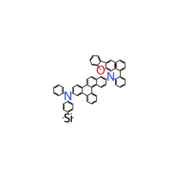 C[Si](C)(C)c1ccc(N(c2ccccc2)c2ccc3c(c2)c2ccccc2c2c4ccc(N(c5ccccc5-c5ccccc5)c5cccc6c5oc5ccccc56)cc4ccc32)cc1